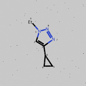 CCn1cc(C2CC2)nn1